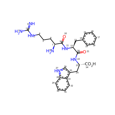 N=C(N)NCCC[C@H](N)C(=O)N[C@@H](Cc1ccccc1)C(=O)N[C@@H](Cc1c[nH]c2ccccc12)C(=O)O